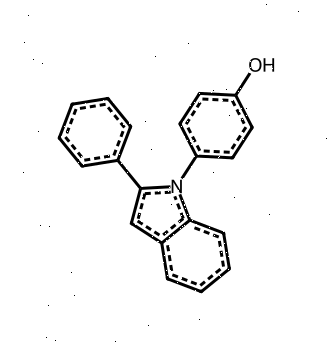 Oc1ccc(-n2c(-c3ccccc3)cc3ccccc32)cc1